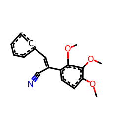 COc1ccc(C(C#N)=Cc2ccccc2)c(OC)c1OC